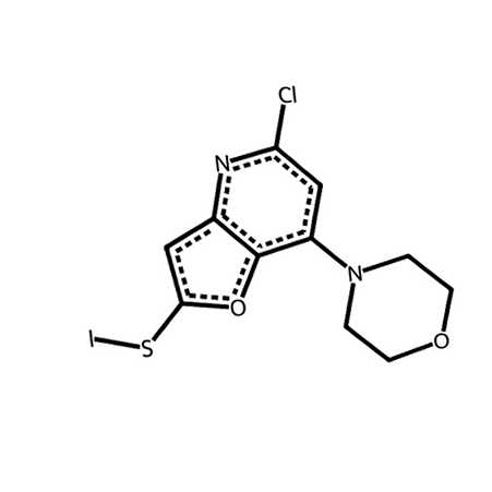 Clc1cc(N2CCOCC2)c2oc(SI)cc2n1